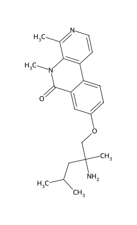 Cc1nccc2c3ccc(OCC(C)(N)CC(C)C)cc3c(=O)n(C)c12